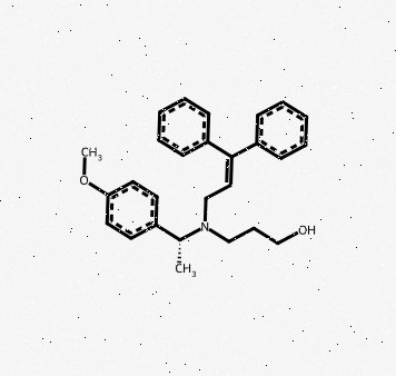 COc1ccc([C@@H](C)N(CC=C(c2ccccc2)c2ccccc2)CCCO)cc1